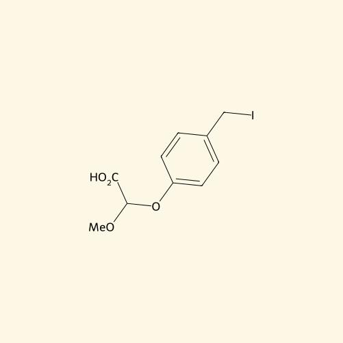 COC(Oc1ccc(CI)cc1)C(=O)O